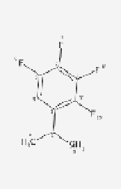 CC([SiH3])c1cc(F)c(F)c(F)c1F